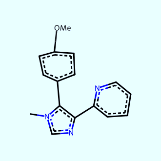 COc1ccc(-c2c(-c3ccccn3)ncn2C)cc1